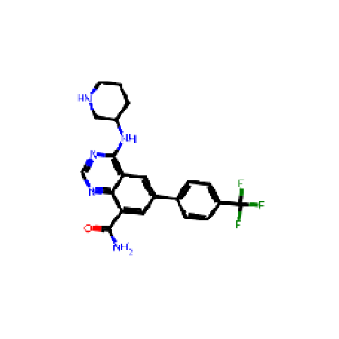 NC(=O)c1cc(-c2ccc(C(F)(F)F)cc2)cc2c(NC3CCCNC3)ncnc12